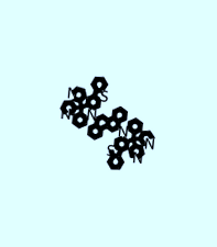 c1cncc(C2(c3ccncc3)c3ccccc3N(c3cc4c5ccccc5c(N5c6ccccc6C(c6cccnc6)(c6cccnc6)c6cc7c(cc65)sc5ccccc57)cc4c4ccccc34)c3cc4sc5ccccc5c4cc32)c1